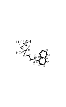 CP(=O)(O)OP(=O)(O)OCCS(=O)(=O)c1cccc2ccccc12